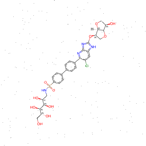 O=S(=O)(NC[C@H](O)[C@@H](O)[C@H](O)[C@H](O)CO)c1ccc(-c2ccc(-c3nc4nc(O[C@@H]5COC6[C@H](O)CO[C@@H]65)[nH]c4cc3Cl)cc2)cc1